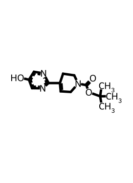 CC(C)(C)OC(=O)N1CC=C(c2ncc(O)cn2)CC1